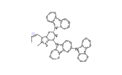 C/C=C\c1c(C)sc2c(-n3c4ccccc4c4cc(-n5c6ccccc6c6ccccc65)ccc43)nc(-n3c4ccccc4c4ccccc43)cc12